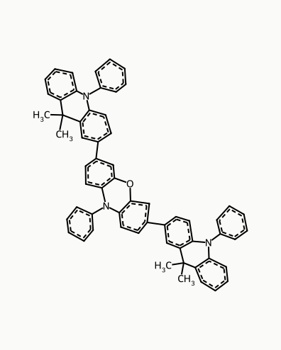 CC1(C)c2ccccc2N(c2ccccc2)c2ccc(-c3ccc4c(c3)Oc3cc(-c5ccc6c(c5)C(C)(C)c5ccccc5N6c5ccccc5)ccc3N4c3ccccc3)cc21